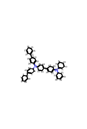 C1=CCC(C2=CCC(N(C3=CCC(C4=CCCC=C4)C=C3)c3ccc(C4=CC=C(N(C5=CCCC=C5)C5C=CC=CC5)CC4)cc3)C=C2)C=C1